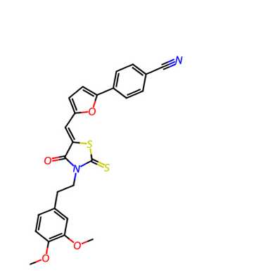 COc1ccc(CCN2C(=O)C(=Cc3ccc(-c4ccc(C#N)cc4)o3)SC2=S)cc1OC